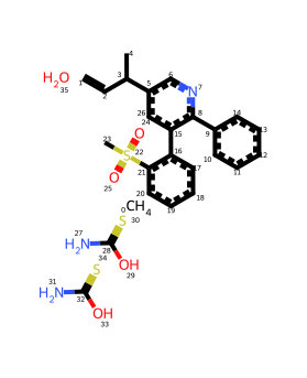 C.C=CC(C)c1cnc(-c2ccccc2)c(-c2ccccc2S(C)(=O)=O)c1.NC(O)=S.NC(O)=S.O